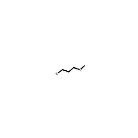 CSCCC[S]